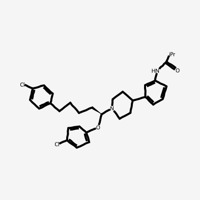 CC(C)C(=O)Nc1cccc(C2CCN([C@H](CCCCc3ccc(Cl)cc3)Oc3ccc(Cl)cc3)CC2)c1